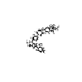 CCC(c1ccc(-c2ccc(Oc3ccc(N(C)S(C)(=O)=O)c(C(=O)O)c3)cc2)cc1)c1nc(-c2ccc(Cl)cc2Cl)c[nH]1